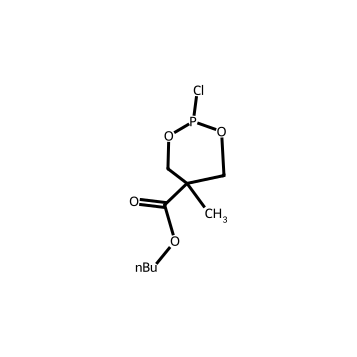 CCCCOC(=O)C1(C)COP(Cl)OC1